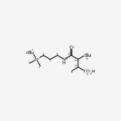 CCCC[N+](C)(C)CCCNC(=O)C(C(C)C(=O)O)C(C)(C)C